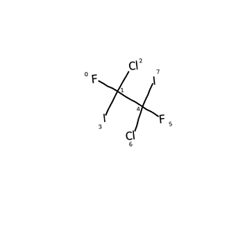 FC(Cl)(I)C(F)(Cl)I